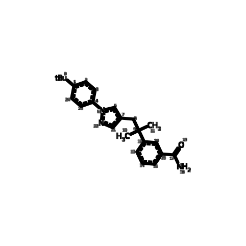 CC(C)(C)c1ccc(-n2cc(CC(C)(C)c3cccc(C(N)=O)c3)cn2)cc1